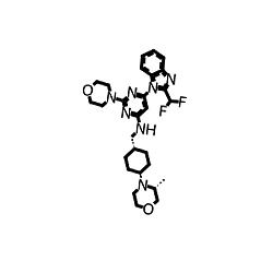 C[C@@H]1COCCN1[C@H]1CC[C@@H](CNc2cc(-n3c(C(F)F)nc4ccccc43)nc(N3CCOCC3)n2)CC1